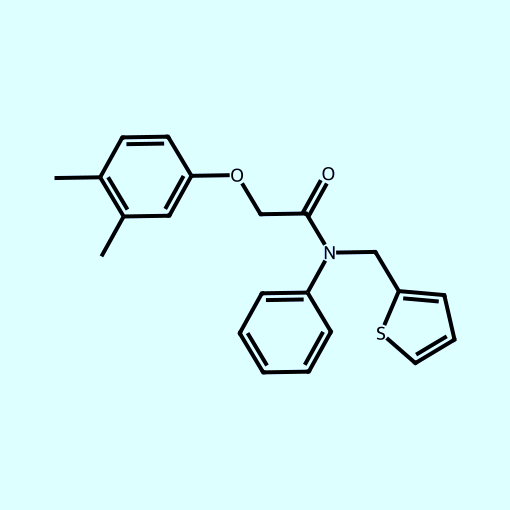 Cc1ccc(OCC(=O)N(Cc2cccs2)c2ccccc2)cc1C